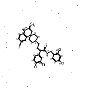 C=C1CC2(CCN(CCC(C(=O)NCc3ccc(Cl)cc3Cl)c3ccc(Cl)c(Cl)c3)CC2)c2cc(F)ccc2N1